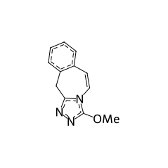 COc1nnc2n1C=Cc1ccccc1C2